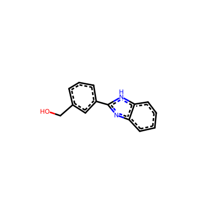 OCc1cccc(-c2nc3ccccc3[nH]2)c1